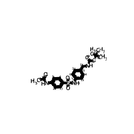 CC(=O)Nc1ccc(S(=O)(=O)Nc2ccc(CNC(=O)OC(C)(C)C)cc2)cc1